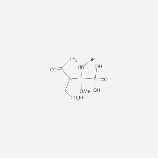 CCOC(=O)CN(C(=O)C(F)(F)F)C(NC(C)C)(OC)P(=O)(O)O